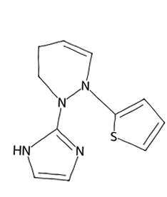 C1=CN(c2cccs2)N(c2ncc[nH]2)CC1